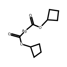 O=[C](OC1CCC1)[Ag][C](=O)OC1CCC1